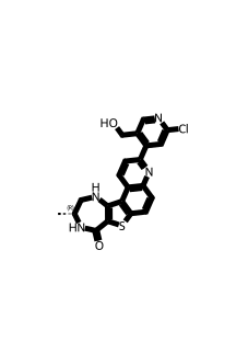 C[C@@H]1CNc2c(sc3ccc4nc(-c5cc(Cl)ncc5CO)ccc4c23)C(=O)N1